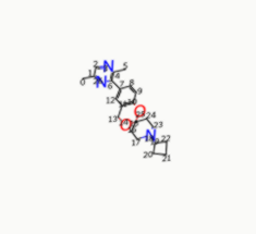 Cc1cnc(C)c(-c2ccc3c(c2)COC2(CCN(C4CCC4)CC2)O3)n1